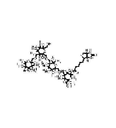 CC(=O)NC1(C)C(C)(OC(=O)CCCCC2SC[C@@H]3NC(=O)N[C@H]23)OC(C)(CO)C(C)(O)C1(C)COCC1(C)OC(C)(C)C(C)(COCC2(C)OC(C)(CO)C(C)(O)C(C)(O)C2(C)COCC2(C)OC(C)(C)C(C)(O)C(C)(O)C2(C)O)C(C)(O)C1(C)O